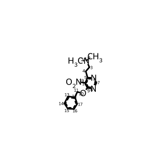 CN(C)CCc1ncnc(OCc2ccccc2)c1[N+](=O)[O-]